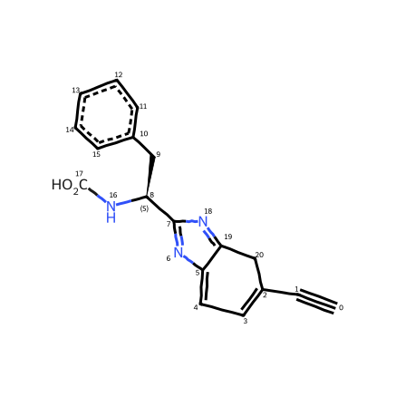 C#CC1=CC=C2N=C([C@H](Cc3ccccc3)NC(=O)O)N=C2C1